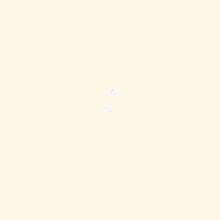 CCCCCCN(CC(CC)OC(=O)C(C)(C)C)NC(=O)c1ccccc1OC